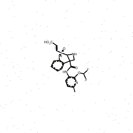 Cc1ccc(NC(=O)C2(c3ccccc3C(C)C)CNC2S(=O)(=O)/C=C/C(=O)O)c(OC(F)F)n1